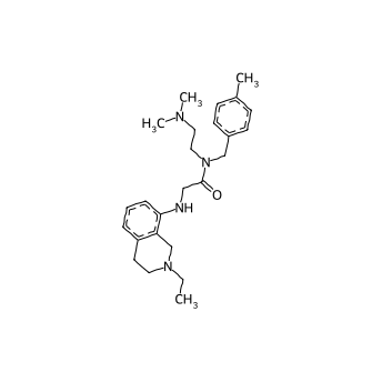 CCN1CCc2cccc(NCC(=O)N(CCN(C)C)Cc3ccc(C)cc3)c2C1